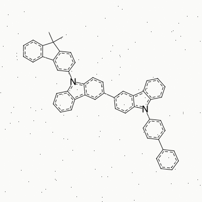 CC1(C)c2ccccc2-c2cc(-n3c4ccccc4c4cc(-c5ccc6c(c5)c5ccccc5n6-c5ccc(-c6ccccc6)cc5)ccc43)ccc21